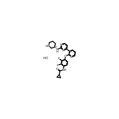 Cl.O=C(Nc1ccc(Oc2ncccc2-c2ccnc(N[C@H]3CCCNC3)n2)c(F)c1F)C1CC1